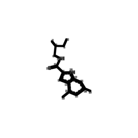 CCC(C)CNC(=O)c1cc2c(C)cc(C)cc2[nH]1